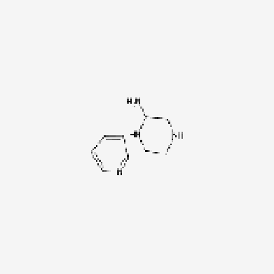 NC1CNCCN1.c1ccncc1